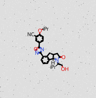 CC(C)Oc1ccc(-c2nc(-c3cccc4c3CC3CC(=O)N([C@@H](CO)C(C)C)[C@H]43)no2)cc1C#N